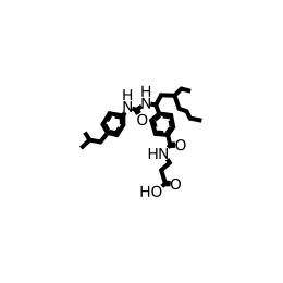 CCCCC(CC)CC(NC(=O)Nc1ccc(CC(C)C)cc1)c1ccc(C(=O)NCCC(=O)O)cc1